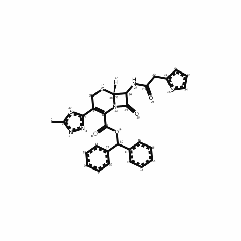 Cc1nnc(C2=C(C(=O)OC(c3ccccc3)c3ccccc3)N3C(=O)C(NC(=O)Cc4cccs4)[C@H]3SC2)s1